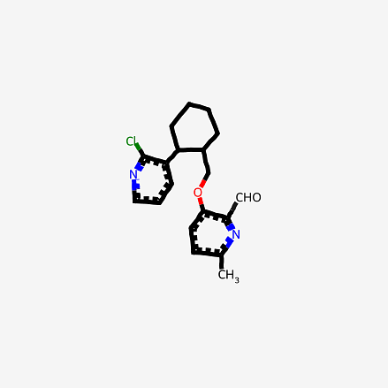 Cc1ccc(OCC2CCCCC2c2cccnc2Cl)c(C=O)n1